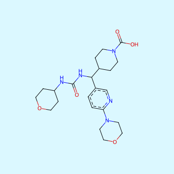 O=C(NC1CCOCC1)NC(c1ccc(N2CCOCC2)nc1)C1CCN(C(=O)O)CC1